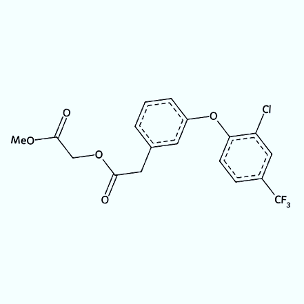 COC(=O)COC(=O)Cc1cccc(Oc2ccc(C(F)(F)F)cc2Cl)c1